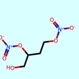 O=[N+]([O-])OCCC(CO)O[N+](=O)[O-]